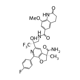 COc1cc(C(=O)NC[C@](O)(c2cc3c(c(-c4ccc(F)cc4)n2)OC[C@]3(C)C(N)=O)C(F)(F)F)cc2c1NC(=O)CC2